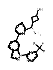 N[C@H](c1cccc(-c2ccc3cnn(-c4nccc(C(F)(F)F)n4)c3c2)n1)C1CC(O)C1